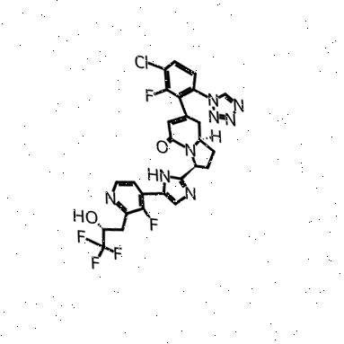 O=C1C=C(c2c(-n3cnnn3)ccc(Cl)c2F)C[C@H]2CC[C@@H](c3ncc(-c4ccnc(C[C@@H](O)C(F)(F)F)c4F)[nH]3)N12